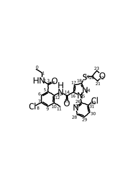 CCNC(=O)c1cc(Cl)cc(C)c1NC(=O)c1cc(SC2COC2)nn1-c1ncccc1Cl